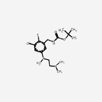 CN(C)CCN(C)c1cc(Cl)c(F)c(CNC(=O)OC(C)(C)C)c1